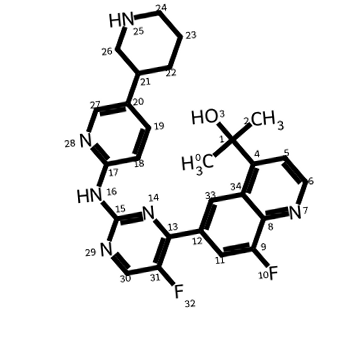 CC(C)(O)c1ccnc2c(F)cc(-c3nc(Nc4ccc(C5CCCNC5)cn4)ncc3F)cc12